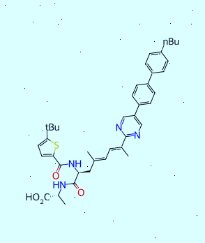 CCCCc1ccc(-c2ccc(-c3cnc(/C(C)=C/C=C(\C)C[C@H](NC(=O)c4ccc(C(C)(C)C)s4)C(=O)N[C@H](C)C(=O)O)nc3)cc2)cc1